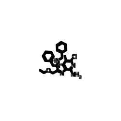 CCOCC1=Nc2c(N)nc(Cl)c(C)c2[N+]1(Cc1ccccc1)NCc1ccccc1